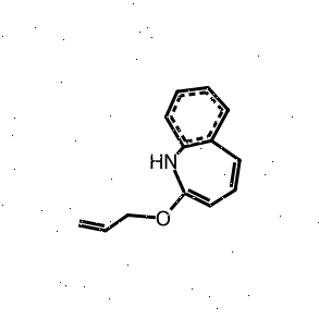 C=CCOC1=CC=Cc2ccccc2N1